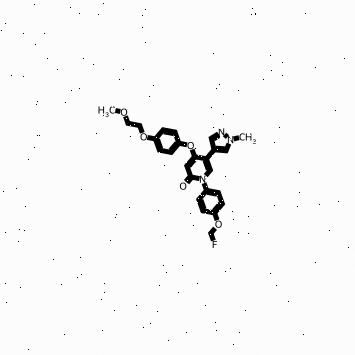 COCCOc1ccc(Oc2cc(=O)n(-c3ccc(OCF)cc3)cc2-c2cnn(C)c2)cc1